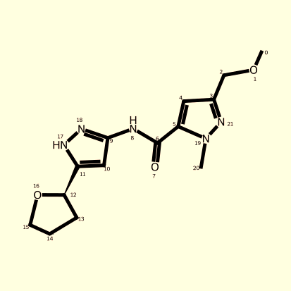 COCc1cc(C(=O)Nc2cc([C@H]3C[CH]CO3)[nH]n2)n(C)n1